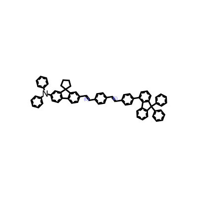 C(=C\c1ccc(-c2cccc3c2-c2ccccc2C3(c2ccccc2)c2ccccc2)cc1)/c1ccc(/C=C/c2ccc3c(c2)C2(CCCC2)c2cc(N(c4ccccc4)c4ccccc4)ccc2-3)cc1